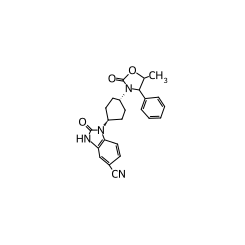 CC1OC(=O)N([C@H]2CC[C@H](n3c(=O)[nH]c4cc(C#N)ccc43)CC2)C1c1ccccc1